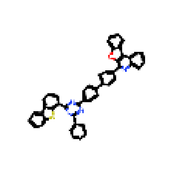 c1ccc(-c2nc(-c3ccc(-c4ccc(-c5nc6ccccc6c6c5oc5ccccc56)cc4)cc3)nc(-c3cccc4c3sc3ccccc34)n2)cc1